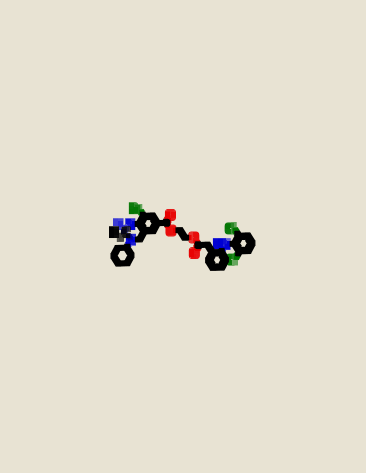 CN(Cc1cc(C(=O)OCCOC(=O)Cc2ccccc2Nc2c(Cl)cccc2Cl)cc(Br)c1N)C1CCCCC1